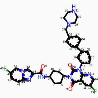 O=C(NC1CCC(n2c(=O)c3cc(F)cnc3n(-c3cccc(-c4ccc(CN5CCNCC5)cc4)c3)c2=O)CC1)c1cn2cc(F)ccc2n1